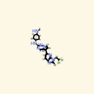 CNC1CCC(Nc2ncc3c(-c4ccc5nc(C)n(CC(F)F)c5n4)ccn3n2)CC1